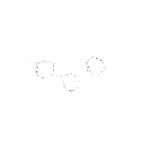 COc1ccc(-p2ccsp(-c3ccc(OC)cc3)s2)cc1